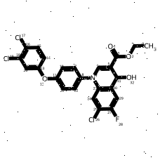 CCOC(=O)C1=CN(c2ccc(Oc3ccc(Cl)c(Cl)c3)cc2)c2cc(Cl)c(F)cc2C1O